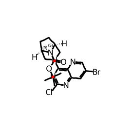 CC(C)(C)OC(=O)N1[C@@H]2CC[C@H]1CN(c1nc(Cl)nc3cc(Br)cnc13)C2